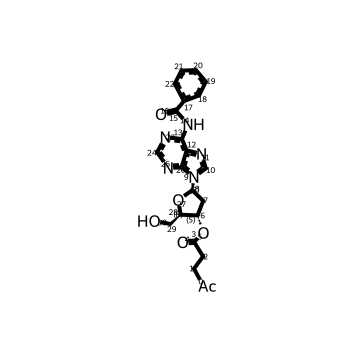 CC(=O)CCC(=O)O[C@H]1C[C@H](n2cnc3c(NC(=O)c4ccccc4)ncnc32)O[C@@H]1CO